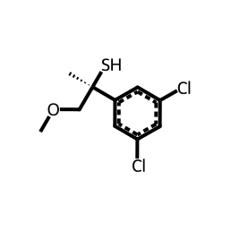 COC[C@@](C)(S)c1cc(Cl)cc(Cl)c1